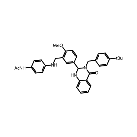 COc1ccc(C2Nc3ccccc3C(=O)N2Cc2ccc(C(C)(C)C)cc2)cc1CNc1ccc(NC(C)=O)cc1